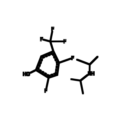 CC(C)NC(C)C.Oc1cc(C(F)(F)F)c(F)cc1F